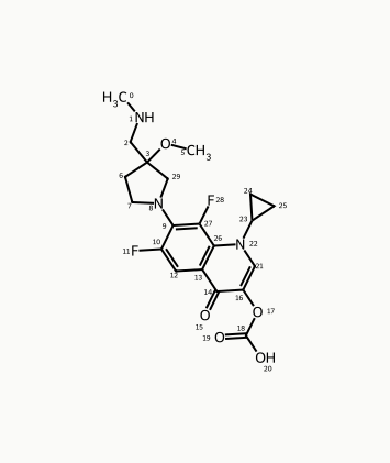 CNCC1(OC)CCN(c2c(F)cc3c(=O)c(OC(=O)O)cn(C4CC4)c3c2F)C1